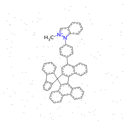 C[n+]1cc2ccccc2n1-c1ccc(-c2cc3c(c4ccccc24)-c2c(c4ccccc4c4ccccc24)C32c3ccccc3-c3ccccc32)cc1